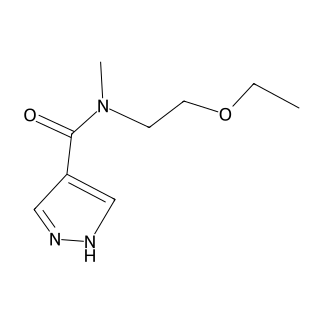 CCOCCN(C)C(=O)c1cn[nH]c1